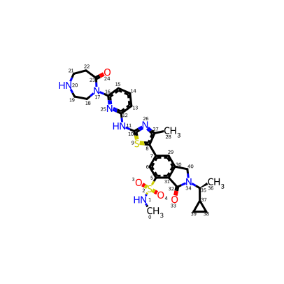 CNS(=O)(=O)c1cc(-c2sc(Nc3cccc(N4CCNCCC4=O)n3)nc2C)cc2c1C(=O)N([C@@H](C)C1CC1)C2